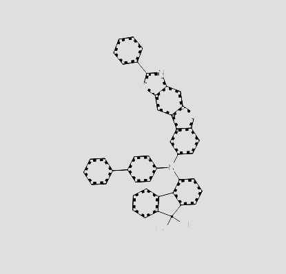 CC1(C)c2ccccc2-c2c(N(c3ccc(-c4ccccc4)cc3)c3ccc4oc5cc6nc(-c7ccccc7)oc6cc5c4c3)cccc21